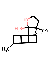 BC1(C23C4CC2C2C(C)C4C23)BCCC1(C)CCC